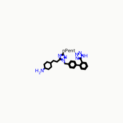 CCCCCc1nc(CCC2CCC(N)CC2)n(Cc2ccc(-c3ccccc3-c3nnn[nH]3)cc2)n1